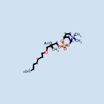 CCCCCCCCCCCCCCCCOCC(C)(COP1(=O)OC2CC[N+](C)(C)C(C2)O1)OC(C)=O